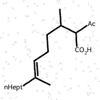 CCCCCCCC(C)=CCCC(C)C(C(C)=O)C(=O)O